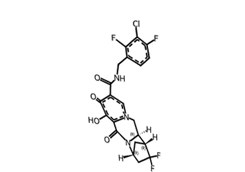 O=C(NCc1ccc(F)c(Cl)c1F)c1cn2c(c(O)c1=O)C(=O)N1[C@@H]3C[C@H]([C@@H]1C2)C(F)(F)C3